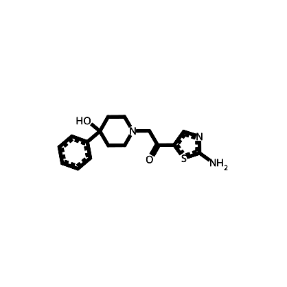 Nc1ncc(C(=O)CN2CCC(O)(c3ccccc3)CC2)s1